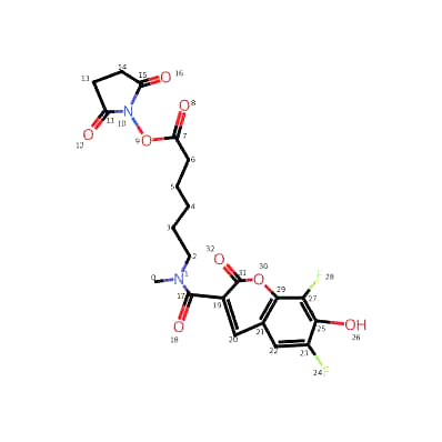 CN(CCCCCC(=O)ON1C(=O)CCC1=O)C(=O)c1cc2cc(F)c(O)c(F)c2oc1=O